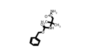 CC(C)(C[S+](N)[O-])NC(=O)OCc1ccccc1